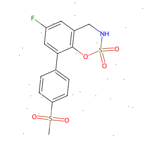 CS(=O)(=O)c1ccc(-c2cc(F)cc3c2OS(=O)(=O)NC3)cc1